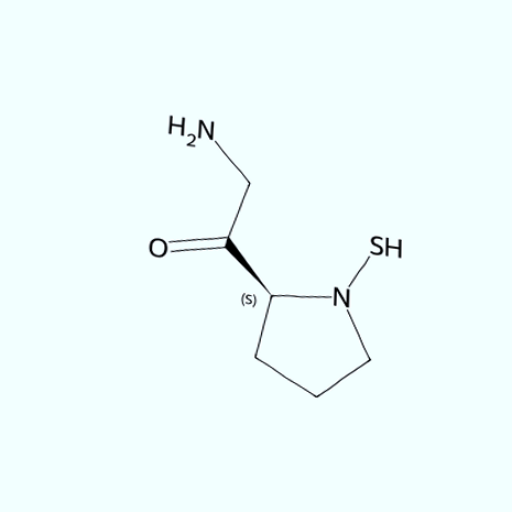 NCC(=O)[C@@H]1CCCN1S